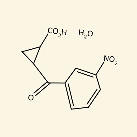 O.O=C(O)C1CC1C(=O)c1cccc([N+](=O)[O-])c1